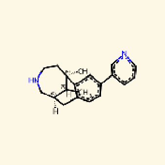 C[C@@H]1[C@@H]2CNCC[C@@]1(C)c1cc(-c3cccnc3)ccc1C2